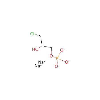 O=P([O-])([O-])OCC(O)CCl.[Na+].[Na+]